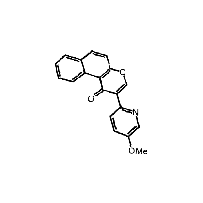 COc1ccc(-c2coc3ccc4ccccc4c3c2=O)nc1